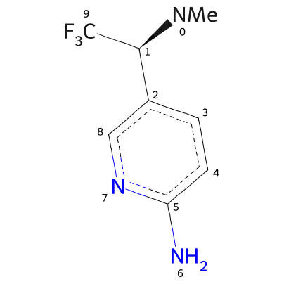 CN[C@@H](c1ccc(N)nc1)C(F)(F)F